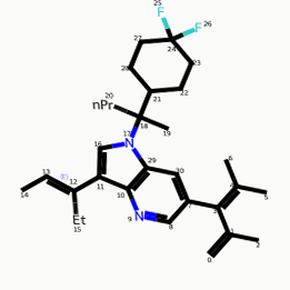 C=C(C)C(=C(C)C)c1cnc2c(/C(=C/C)CC)cn(C(C)(CCC)C3CCC(F)(F)CC3)c2c1